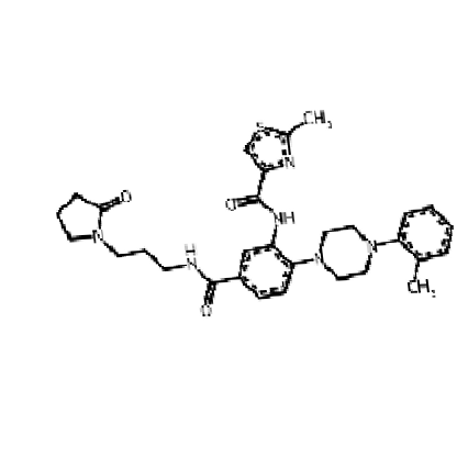 Cc1nc(C(=O)Nc2cc(C(=O)NCCCN3CCCC3=O)ccc2N2CCN(c3ccccc3C)CC2)cs1